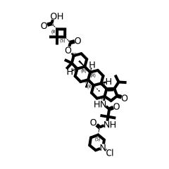 CC(C)C1=C2[C@H]3CC[C@@H]4[C@@]5(C)CC[C@H](OC(=O)[C@H]6C[C@@H](C(=O)O)C6(C)C)C(C)(C)[C@@H]5CC[C@@]4(C)[C@]3(C)CC[C@@]2(NC(=O)C(C)(C)NC(=O)[C@H]2CCCN(Cl)C2)CC1=O